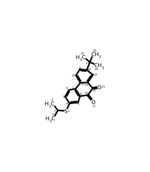 CC(C)Sc1ccc2c(c1)C(=O)C(=O)c1cc(C(C)(C)C)ccc1-2